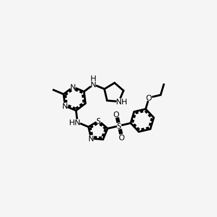 CCOc1cccc(S(=O)(=O)c2cnc(Nc3cc(NC4CCNC4)nc(C)n3)s2)c1